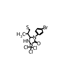 CC(C=S)C1NN(C(Cl)(Cl)Cl)C(=O)N1c1ccc(Br)cc1